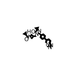 O=C(C1CC1)N1CC(CN2C(c3ccc(-c4ccc5nncn5c4)cc3)=NC3(CC3)C2O)C1